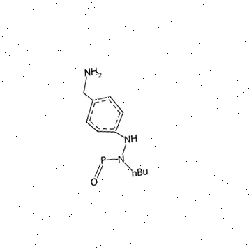 CCCCN(Nc1ccc(CN)cc1)P=O